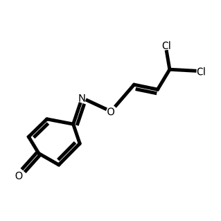 O=C1C=CC(=NOC=CC(Cl)Cl)C=C1